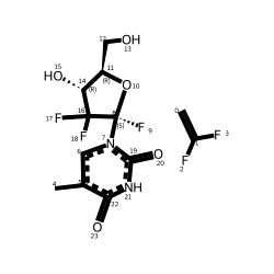 C=C(F)F.Cc1cn([C@]2(F)O[C@H](CO)[C@@H](O)C2(F)F)c(=O)[nH]c1=O